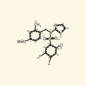 COc1ccc(CN(c2nccs2)S(=O)(=O)c2cc(F)c(F)cc2Cl)c(C)c1